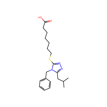 CC(C)Cc1nnc(SCCCCCCC(=O)O)n1Cc1ccccc1